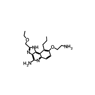 CCCc1c(OCCN)ccc2nc(N)c3nc(COCC)[nH]c3c12